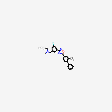 CN(CC(=O)O)Cc1cc(F)cc(C2=NOC(c3ccc(-c4ccccc4)c(C(F)(F)F)c3)N2)c1